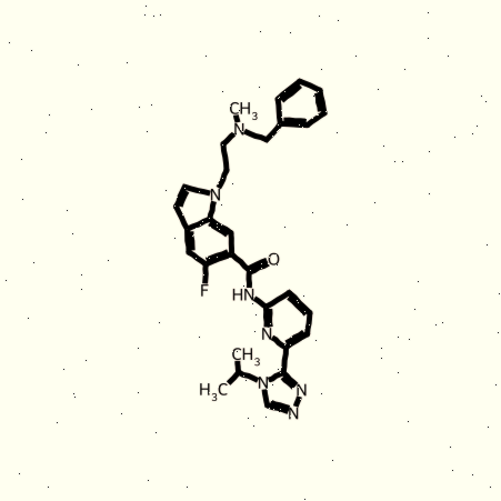 CC(C)n1cnnc1-c1cccc(NC(=O)c2cc3c(ccn3CCN(C)Cc3ccccc3)cc2F)n1